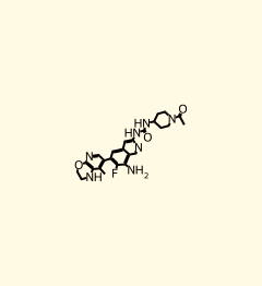 CC(=O)N1CCC(NC(=O)Nc2cc3cc(-c4cnc5c(c4C)NCCO5)c(F)c(N)c3cn2)CC1